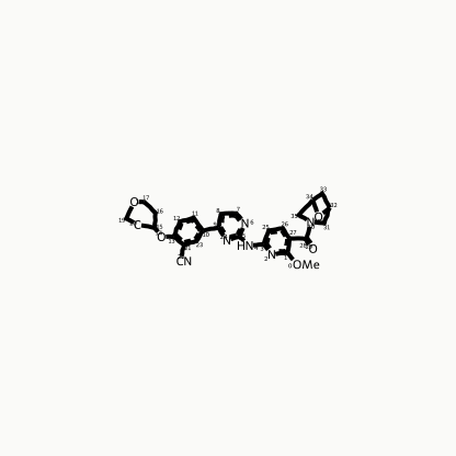 COc1nc(Nc2nccc(-c3ccc(OC4CCOCC4)c(C#N)c3)n2)ccc1C(=O)N1CC2CC(C1)O2